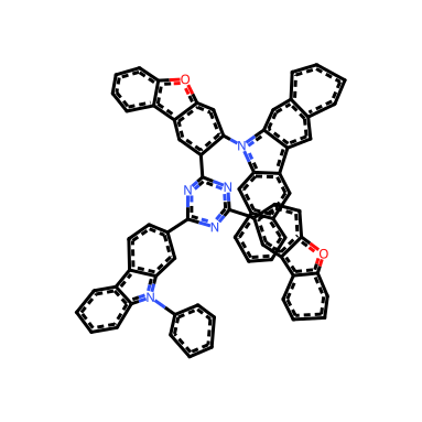 c1ccc(-n2c3ccccc3c3ccc(-c4nc(-c5ccc6oc7ccccc7c6c5)nc(-c5cc6c(cc5-n5c7cc8ccccc8cc7c7cc8ccccc8cc75)oc5ccccc56)n4)cc32)cc1